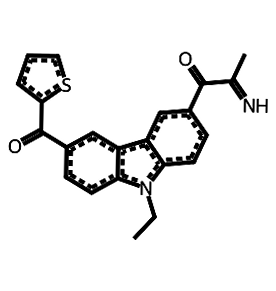 CCn1c2ccc(C(=O)C(C)=N)cc2c2cc(C(=O)c3cccs3)ccc21